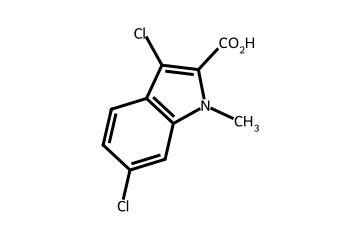 Cn1c(C(=O)O)c(Cl)c2ccc(Cl)cc21